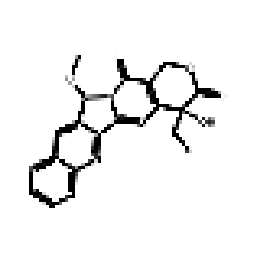 CC[C@@]1(O)C(=O)OCc2c1cc1n(c2=O)C(OC)c2cc3ccccc3nc2-1